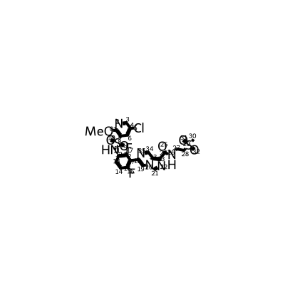 COc1ncc(Cl)cc1S(=O)(=O)Nc1ccc(F)c(-c2cn3cnc(C(=O)NCCS(C)(=O)=O)c3cn2)c1F